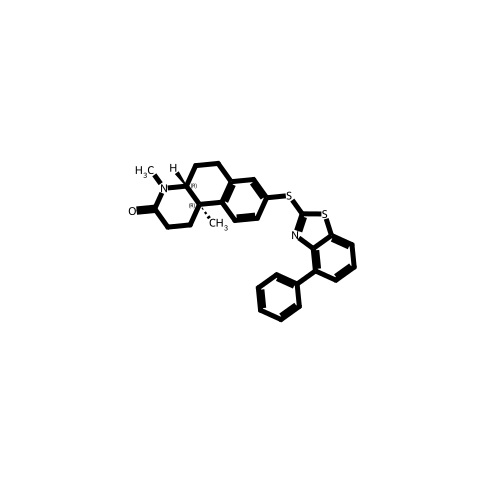 CN1C(=O)CC[C@]2(C)c3ccc(Sc4nc5c(-c6ccccc6)cccc5s4)cc3CC[C@@H]12